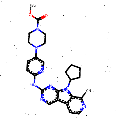 CC(C)(C)OC(=O)N1CCN(c2ccc(Nc3ncc4c5ccnc(C#N)c5n(C5CCCC5)c4n3)nc2)CC1